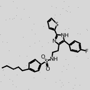 CCCCCc1ccc(S(=O)(=O)NCCc2nc(-c3cccs3)[nH]c2-c2ccc(F)cc2)cc1